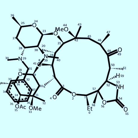 CC[C@H]1OC(=O)[C@H](C)[C@@H](O[C@H]2C[C@@](C)(OC)[C@@H](OC(C)=O)[C@H](C)O2)[C@H](C)[C@@H](O[C@@H]2O[C@H](C)C[C@@H](N(C)Cc3ccccc3)[C@@H]2N(C)C)[C@@](C)(OC)C[C@@H](C)C(=O)[C@H](C)[C@H]2NC(=O)O[C@@]21C